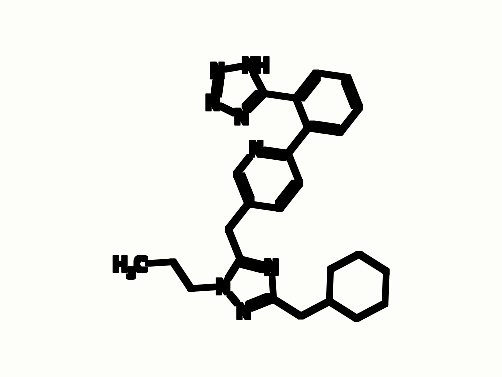 CCCn1nc(CC2CCCCC2)nc1Cc1ccc(-c2ccccc2-c2nnn[nH]2)nc1